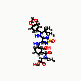 C=C(C)C(Nc1n[s+]([O-])nc1Nc1cccc(C(=O)N(C)CC(=O)O)c1O)c1ccc2c(c1)OCO2